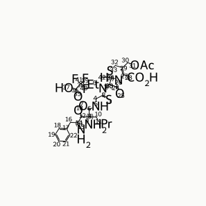 CCN(C(=S)CNC(=O)[C@@](N)(CC(C)C)C(=O)[C@@H](N)Cc1ccccc1)[C@@H]1C(=O)N2C(C(=O)O)=C(COC(C)=O)CS[C@@H]12.O=C(O)C(F)(F)F